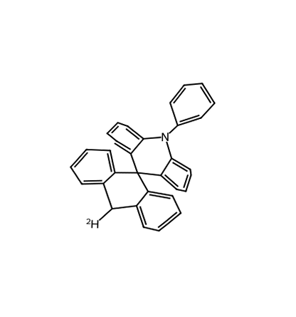 [2H]C1c2ccccc2C2(c3ccccc31)c1ccccc1N(c1ccccc1)c1ccccc12